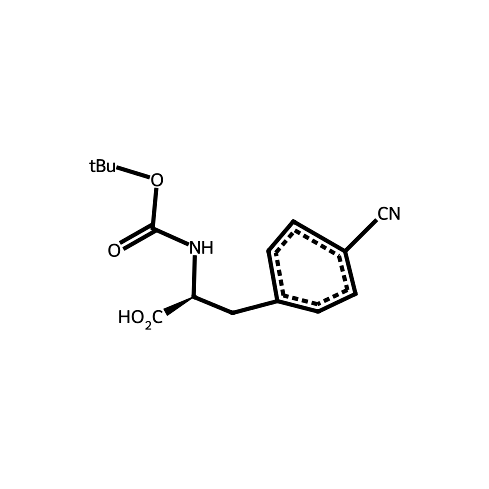 CC(C)(C)OC(=O)N[C@@H](Cc1ccc(C#N)cc1)C(=O)O